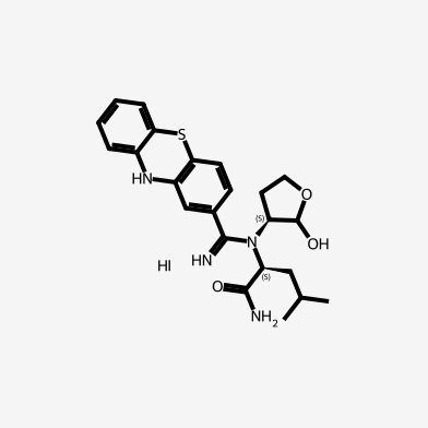 CC(C)C[C@@H](C(N)=O)N(C(=N)c1ccc2c(c1)Nc1ccccc1S2)[C@H]1CCOC1O.I